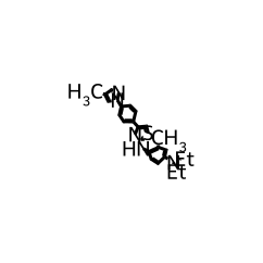 CCN(CC)c1ccc(Nc2nc(-c3ccc(-n4cc(C)cn4)cc3)cs2)c(C)c1